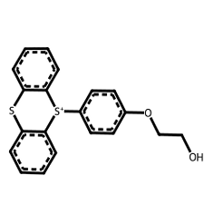 OCCOc1ccc([S+]2c3ccccc3Sc3ccccc32)cc1